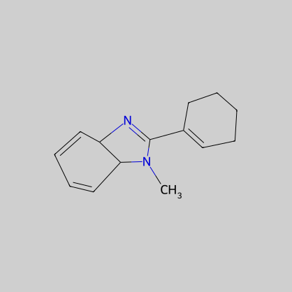 CN1C(C2=CCCCC2)=NC2C=CC=CC21